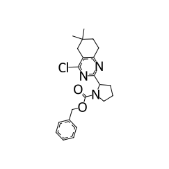 CC1(C)CCc2nc(C3CCCN3C(=O)OCc3ccccc3)nc(Cl)c2C1